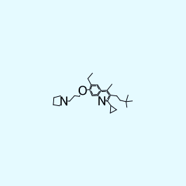 CCc1cc2c(C)c(CCC(C)(C)C)c(C3CC3)nc2cc1OCCCN1CCCC1